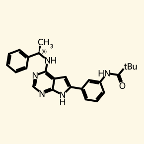 C[C@@H](Nc1ncnc2[nH]c(-c3cccc(NC(=O)C(C)(C)C)c3)cc12)c1ccccc1